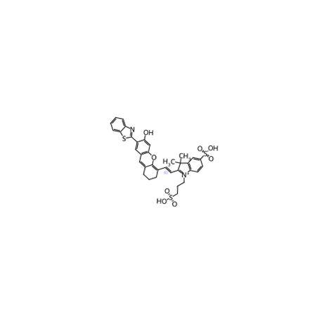 CC1(C)C(/C=C/C2=C3Oc4cc(O)c(-c5nc6ccccc6s5)cc4C=C3CCC2)=[N+](CCCS(=O)(=O)O)c2ccc(S(=O)(=O)O)cc21